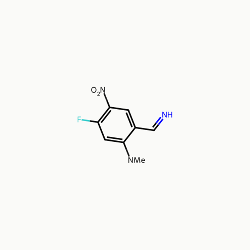 CNc1cc(F)c([N+](=O)[O-])cc1C=N